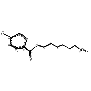 CCCCCCCCCCCCCCCCOC(=O)c1ccc(Cl)cc1